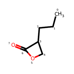 CCCC1COC1=O